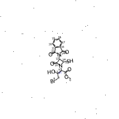 COC(=O)/C(=C(/O)CBr)N1C(=O)C(N2C(=O)c3ccccc3C2=O)C1S